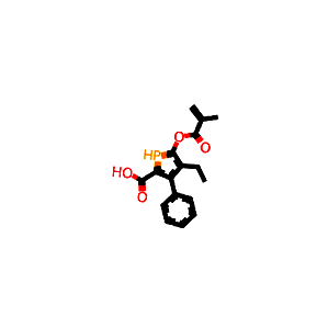 C=C(C)C(=O)Oc1[pH]c(C(=O)O)c(-c2ccccc2)c1CC